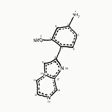 COc1cc(N)ccc1-c1cn2ccncc2n1